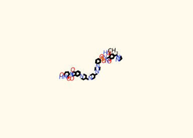 COc1cc(Cn2cccn2)cc2onc(NS(=O)(=O)c3cccc(N4CCN(CC5CCN(CC6CCN(c7ccc8c(c7)C(=O)N(C7CCC(=O)NC7=O)C8=O)CC6)CC5)CC4)c3)c12